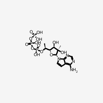 C[C@H](OP(=O)(O)OP(=O)(O)OP(=O)(O)O)[C@H]1O[C@@H](n2ccc3c(N)ncnc32)[C@](C)(O)[C@@H]1O